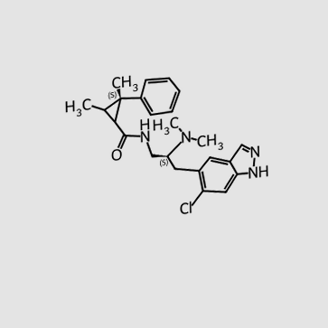 CC1C(C(=O)NC[C@H](Cc2cc3cn[nH]c3cc2Cl)N(C)C)[C@@]1(C)c1ccccc1